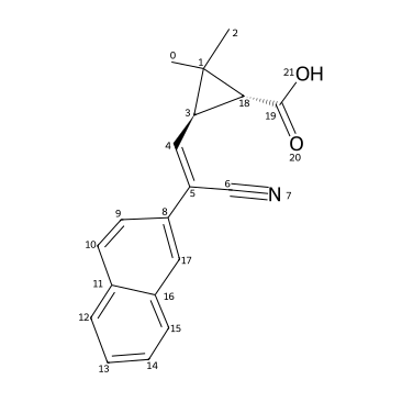 CC1(C)[C@H](/C=C(\C#N)c2ccc3ccccc3c2)[C@H]1C(=O)O